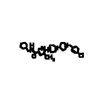 Cc1cc(C(=O)NCC2CCCCC2)cnc1N1CCN(C2CCN(Cc3ccc(Cl)cc3)CC2)CC1